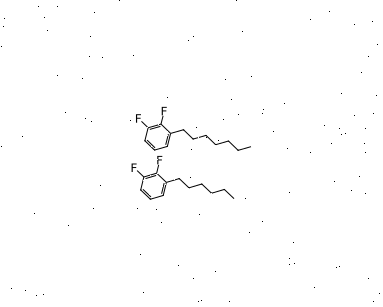 CCCCCCCc1cccc(F)c1F.CCCCCCc1cccc(F)c1F